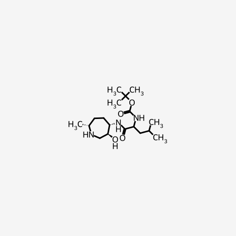 CC(C)CC(NC(=O)OC(C)(C)C)C(=O)N[C@H]1CC[C@@H](C)NC[C@@H]1O